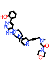 CC1CC2CN(c3cc(-c4ccccc4O)nnc3N)CC1N2c1ccnc(C#CCN(C)CC(=O)N2CCOCC2)c1